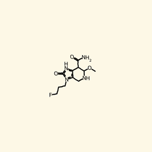 COC1NCc2c([nH]c(=O)n2CCCF)C1C(N)=O